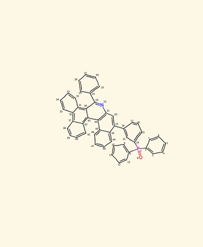 O=P(c1ccccc1)(c1ccccc1)c1cccc(-c2cc3nc(-c4ccccc4)c4c5ccccc5c5ccccc5c4c3c3ccccc23)c1